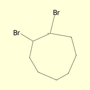 Br[C]1CCCCCCC1Br